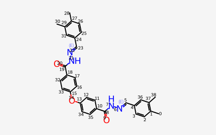 Cc1ccc(/C=N/NC(=O)c2ccc(Oc3ccc(C(=O)N/N=C/c4ccc(C)c(C)c4)cc3)cc2)cc1C